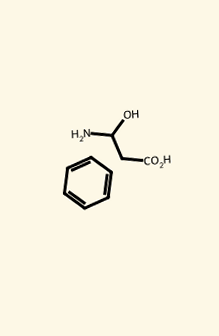 NC(O)CC(=O)O.c1ccccc1